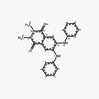 Cn1c(=O)c2cc(Nc3ccccc3)c(Nc3ccccc3)cc2c(=O)n1C